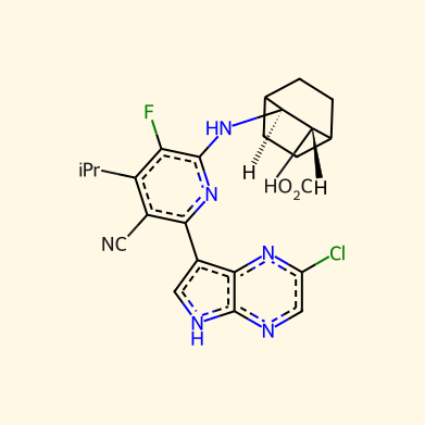 CC(C)c1c(F)c(N[C@H]2C3CCC(CC3)[C@@H]2C(=O)O)nc(-c2c[nH]c3ncc(Cl)nc23)c1C#N